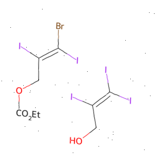 CCOC(=O)OCC(I)=C(Br)I.OCC(I)=C(I)I